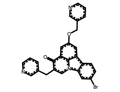 O=c1c(Cc2cccnc2)cn2c3cc(Br)ccc3c3cc(OCc4cccnc4)cc1c32